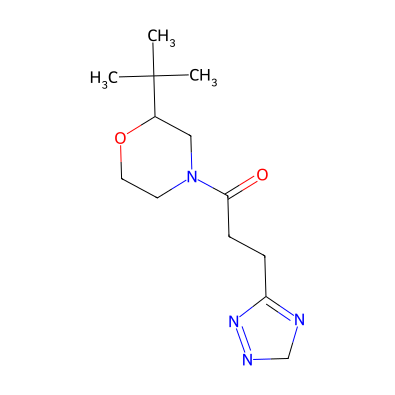 CC(C)(C)C1CN(C(=O)CCC2=NCN=N2)CCO1